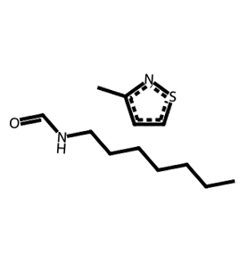 CCCCCCCNC=O.Cc1ccsn1